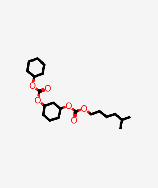 CC(C)CCCCOC(=O)OC1CCCC(OC(=O)OC2CCCCC2)C1